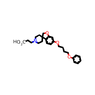 O=C(O)CCN1CCC2(CC1)COc1cc(OCCCCOc3ccccc3)ccc12